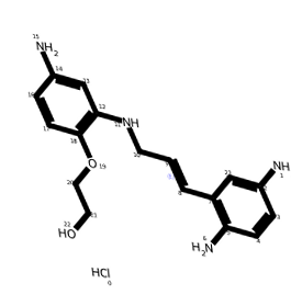 Cl.Nc1ccc(N)c(/C=C/CNc2cc(N)ccc2OCCO)c1